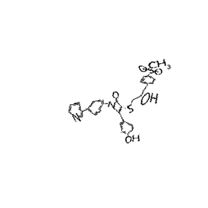 CS(=O)(=O)c1ccc([C@H](O)CS[C@H]2C(=O)N(c3ccc(-c4cccnc4)cc3)[C@@H]2c2ccc(O)cc2)cc1